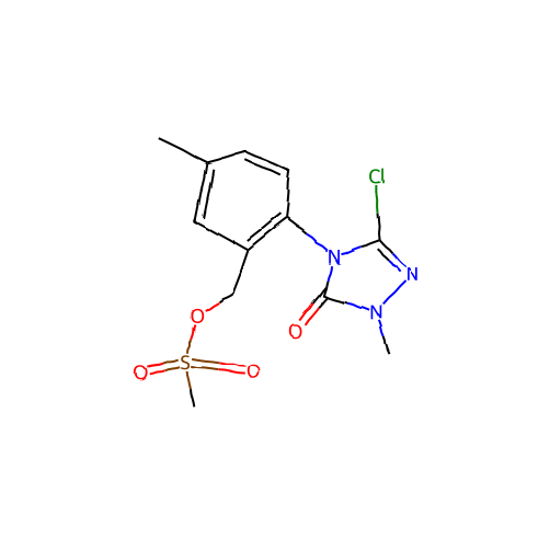 Cc1ccc(-n2c(Cl)nn(C)c2=O)c(COS(C)(=O)=O)c1